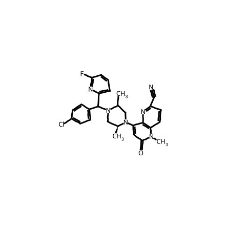 CC1CN(c2cc(=O)n(C)c3ccc(C#N)nc23)[C@@H](C)CN1C(c1ccc(Cl)cc1)c1cccc(F)n1